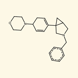 C1=CC(N2CCOCC2)CC=C1C12CC1CN(Cc1ccccc1)C2